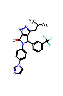 CC(C)Cc1n[nH]c2c1C(c1cccc(C(F)(F)F)c1)N(c1ccc(-n3ccnc3)cc1)C2=O